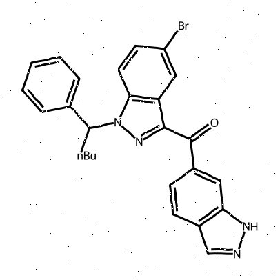 CCCCC(c1ccccc1)n1nc(C(=O)c2ccc3cn[nH]c3c2)c2cc(Br)ccc21